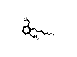 CCCCCc1c([SiH3])cccc1CCl